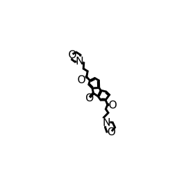 O=C(CCCN1CCOCC1)c1ccc2c(c1)C(=O)c1cc(C(=O)CCCN3CCOCC3)ccc1-2